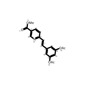 COC(=O)c1ccc(/C=C/c2cc(OC(C)=O)cc(OC(C)=O)c2)nc1